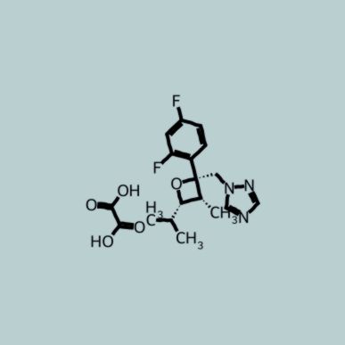 CC(C)[C@@H]1O[C@@](Cn2cncn2)(c2ccc(F)cc2F)[C@@H]1C.O=C(O)C(=O)O